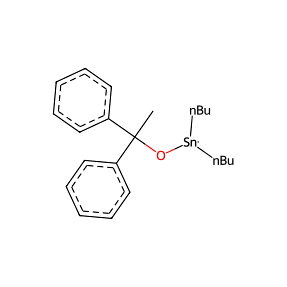 CCC[CH2][Sn]([CH2]CCC)[O]C(C)(c1ccccc1)c1ccccc1